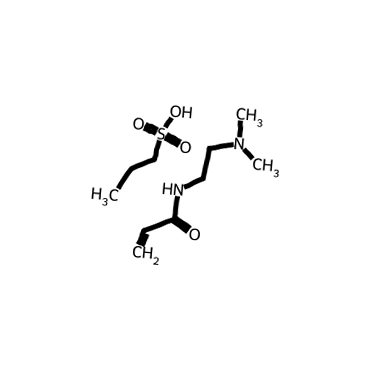 C=CC(=O)NCCN(C)C.CCCS(=O)(=O)O